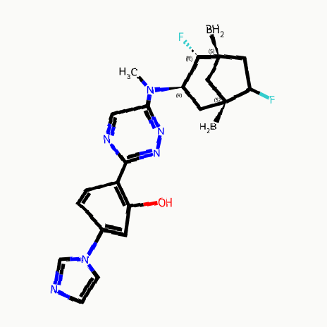 B[C@]12C[C@@H](N(C)c3cnc(-c4ccc(-n5ccnc5)cc4O)nn3)[C@H](F)[C@](B)(CC1F)C2